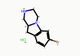 Brc1ccc2c(c1)N1CCNCC1C2.Cl